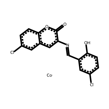 O=c1oc2ccc(Cl)cc2cc1N=Cc1cc(Cl)ccc1O.[Co]